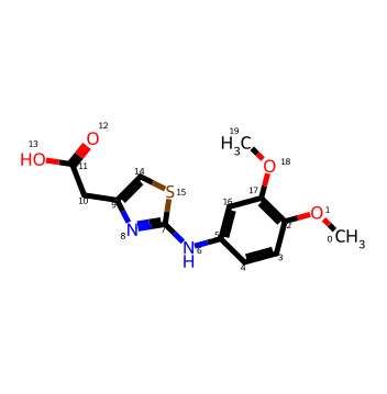 COc1ccc(Nc2nc(CC(=O)O)cs2)cc1OC